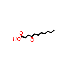 CCCCCCCC(=O)CCC(=O)O